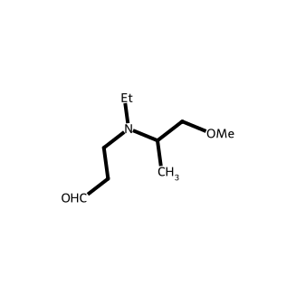 CCN(CCC=O)C(C)COC